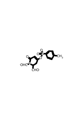 Cc1ccc(S(=O)(=O)OC2=CC(=O)N([C]=O)C([C]=O)C2)cc1